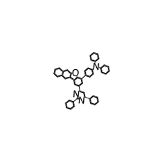 c1ccc(-c2cc(-c3cc(-c4ccc(N(c5ccccc5)c5ccccc5)cc4)c4oc5cc6ccccc6cc5c4c3)nc(-c3ccccc3)n2)cc1